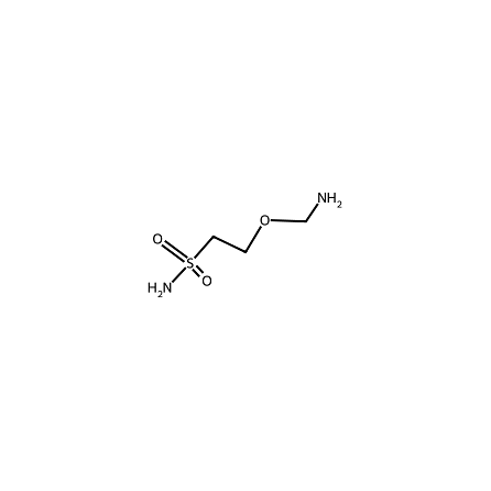 NCOCCS(N)(=O)=O